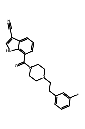 N#Cc1c[nH]c2c(C(=O)N3CCN(CCc4cccc(F)c4)CC3)cccc12